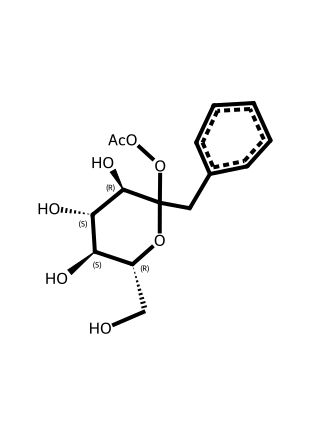 CC(=O)OOC1(Cc2ccccc2)O[C@H](CO)[C@@H](O)[C@H](O)[C@H]1O